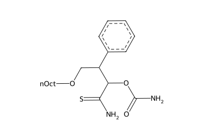 CCCCCCCCOCC(c1ccccc1)C(OC(N)=O)C(N)=S